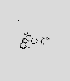 CC(C)(C)OC(=O)N1CCC(n2c(S(C)(=O)=O)nc3cccc(F)c32)CC1